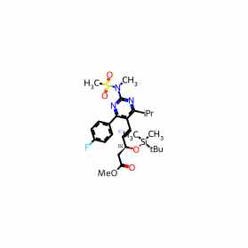 COC(=O)C[C@@H](/C=C/c1c(-c2ccc(F)cc2)nc(N(C)S(C)(=O)=O)nc1C(C)C)O[Si](C)(C)C(C)(C)C